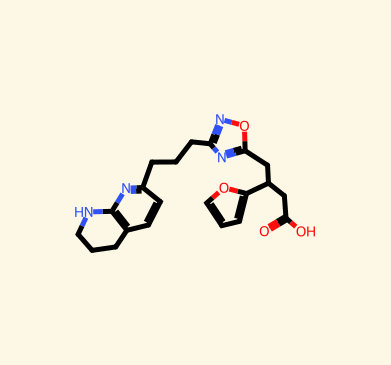 O=C(O)CC(Cc1nc(CCCc2ccc3c(n2)NCCC3)no1)c1ccco1